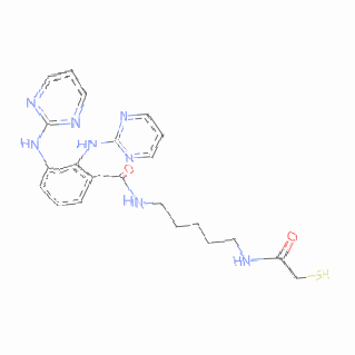 O=C(CS)NCCCCCNC(=O)c1cccc(Nc2ncccn2)c1Nc1ncccn1